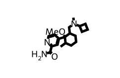 COC1(c2ccnc(C(N)=O)c2)C(C)CCCC1CN(C)C1CCC1